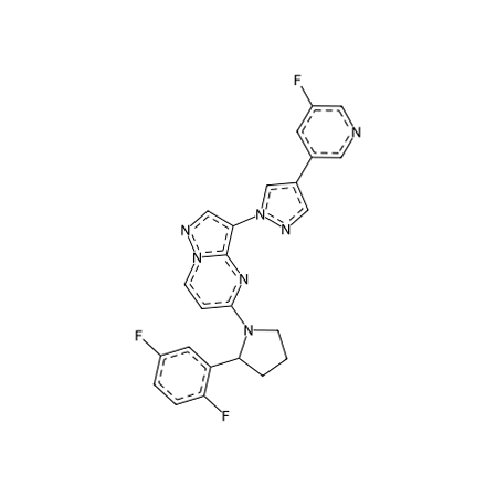 Fc1cncc(-c2cnn(-c3cnn4ccc(N5CCCC5c5cc(F)ccc5F)nc34)c2)c1